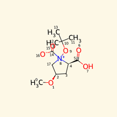 CO[C@@H]1C[C@H](C(=O)O)[N+](OC(C)(C)C)(C(=O)[O-])C1